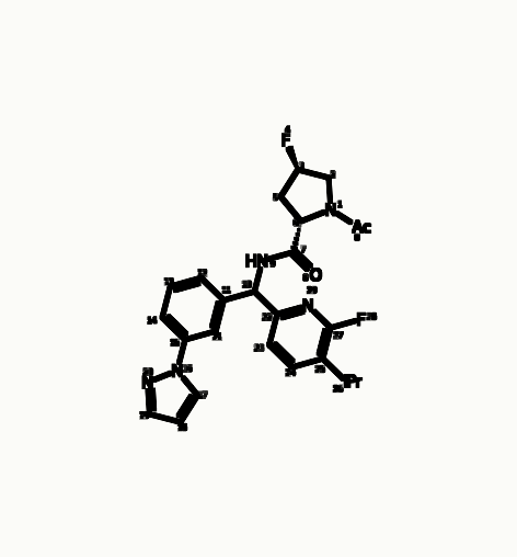 CC(=O)N1C[C@H](F)C[C@H]1C(=O)NC(c1cccc(-n2cccn2)c1)c1ccc(C(C)C)c(F)n1